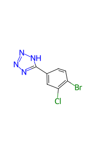 Clc1cc(-c2nnn[nH]2)ccc1Br